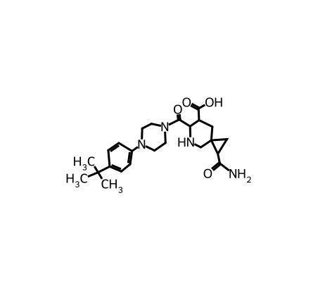 CC(C)(C)c1ccc(N2CCN(C(=O)C3NCC4(CC3C(=O)O)CC4C(N)=O)CC2)cc1